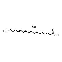 CCCCC=CC=CC=CCCCCCCCC(=O)O.[Cu]